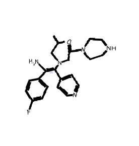 CC(C)CN(CC(=O)N1CCNCC1)/C(=C(\N)c1ccc(F)cc1)c1ccncc1